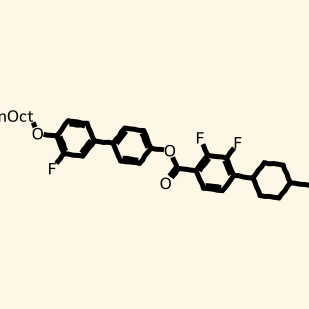 CCCCCCCCOc1ccc(-c2ccc(OC(=O)c3ccc(C4CCC(C)CC4)c(F)c3F)cc2)cc1F